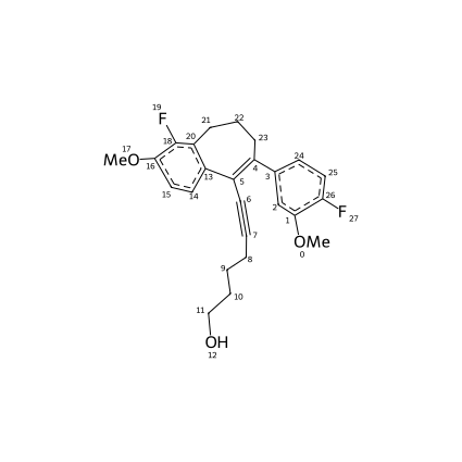 COc1cc(C2=C(C#CCCCCO)c3ccc(OC)c(F)c3CCC2)ccc1F